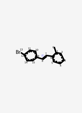 Cc1ccccc1/C=C/c1ccc(Br)cc1